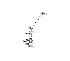 C#C[C@]1(COC(=O)CCCCCCCCCCCCCCCCCCC)C[C@@H](n2cnc3c(N)nc(F)nc32)C[C@@H]1O